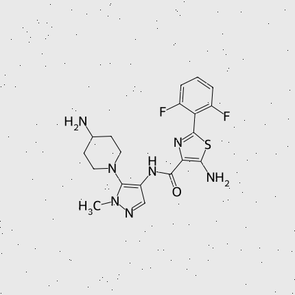 Cn1ncc(NC(=O)c2nc(-c3c(F)cccc3F)sc2N)c1N1CCC(N)CC1